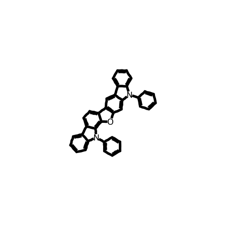 c1ccc(-n2c3ccccc3c3cc4c(cc32)oc2c4ccc3c4ccccc4n(-c4ccccc4)c32)cc1